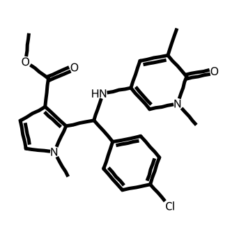 COC(=O)c1ccn(C)c1C(Nc1cc(C)c(=O)n(C)c1)c1ccc(Cl)cc1